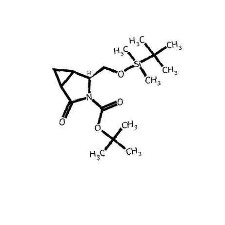 CC(C)(C)OC(=O)N1C(=O)C2CC2[C@H]1CO[Si](C)(C)C(C)(C)C